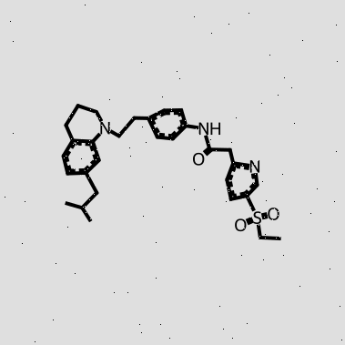 CCS(=O)(=O)c1ccc(CC(=O)Nc2ccc(CCN3CCCc4ccc(CC(C)C)cc43)cc2)nc1